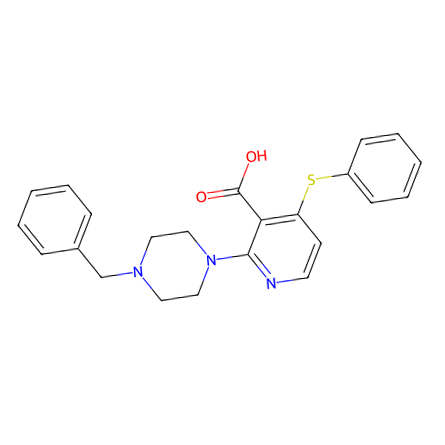 O=C(O)c1c(Sc2ccccc2)ccnc1N1CCN(Cc2ccccc2)CC1